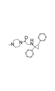 CN1CCN(C(=O)CNC2(c3ccccc3)CC2c2ccccc2)CC1